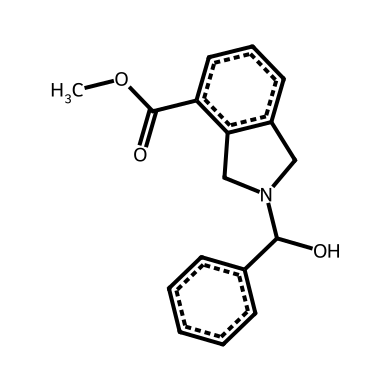 COC(=O)c1cccc2c1CN(C(O)c1ccccc1)C2